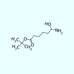 CC(C)(C)OC(=O)CCCCC(N)O